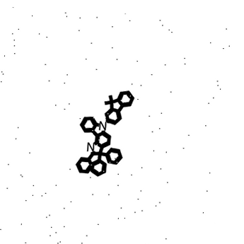 CC1(C)c2ccccc2-c2ccc(-n3c4ccccc4c4c5c(ccc43)C(c3ccccc3)(c3ccccc3)C(c3ccccc3)=N5)cc21